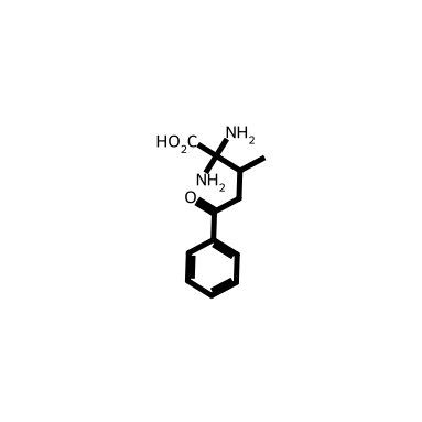 CC(CC(=O)c1ccccc1)C(N)(N)C(=O)O